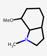 COC1CCCC2CCN(C)C21